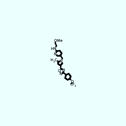 COCCNc1ccc(Cn2cc(-c3nc(-c4ccc(OC(F)(F)F)cc4)no3)cc2C)cn1